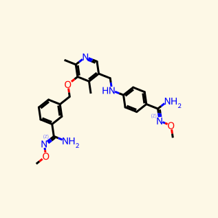 CO/N=C(\N)c1ccc(NCc2cnc(C)c(OCc3cccc(/C(N)=N/OC)c3)c2C)cc1